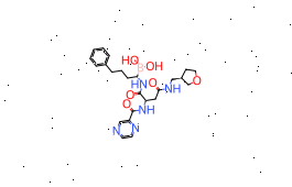 O=C(CC(NC(=O)c1cnccn1)C(=O)NC(CCCc1ccccc1)B(O)O)NC[C@H]1CCOC1